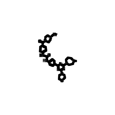 CC(C)N1CCN(C(=O)c2ccc(NC(=O)Nc3ccc(-c4nc(N5CCOCC5)nc(N5CCCN(C)CC5)n4)cc3)cc2)CC1